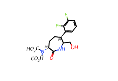 O=C1NC(CO)[C@H](c2cccc(F)c2F)CC[C@H]1N(C(=O)O)C(=O)O